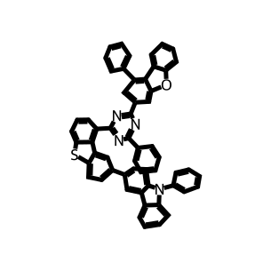 c1ccc(-c2nc(-c3cc(-c4ccccc4)c4c(c3)oc3ccccc34)nc(-c3cccc4sc5ccc(-c6ccc7c(c6)c6ccccc6n7-c6ccccc6)cc5c34)n2)cc1